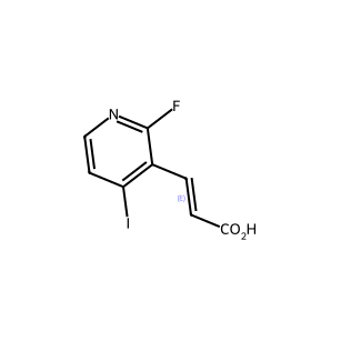 O=C(O)/C=C/c1c(I)ccnc1F